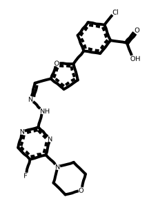 O=C(O)c1cc(-c2ccc(/C=N\Nc3ncc(F)c(N4CCOCC4)n3)o2)ccc1Cl